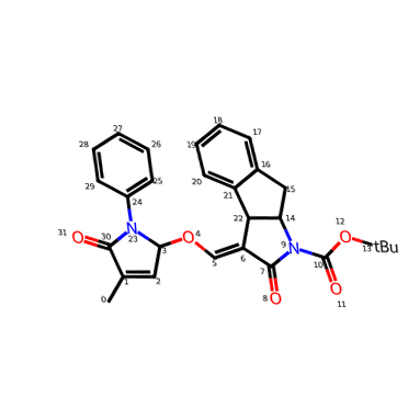 CC1=CC(O/C=C2/C(=O)N(C(=O)OC(C)(C)C)C3Cc4ccccc4C23)N(c2ccccc2)C1=O